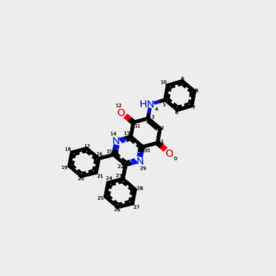 O=C1C=C(Nc2ccccc2)C(=O)c2nc(-c3ccccc3)c(-c3ccccc3)nc21